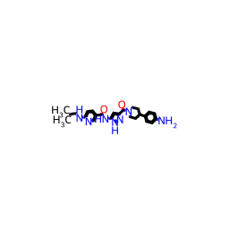 CC(C)CNc1ccc(C(=O)Nc2cc(C(=O)N3CCC(c4ccc(N)cc4)CC3)n[nH]2)cn1